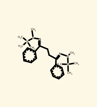 CN(/N=C(/CC/C(=N/N(C)[Si](C)(C)C)c1ccccc1)c1ccccc1)[Si](C)(C)C